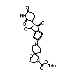 CC(C)(C)OC(=O)N1CCOC2(CCN(c3ccc4c(c3)C(=O)N(C3CCC(=O)NC3=O)C4=O)CC2)C1